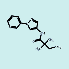 CSCC(C)(C)C(=O)Nc1cnn(-c2cccnc2)c1